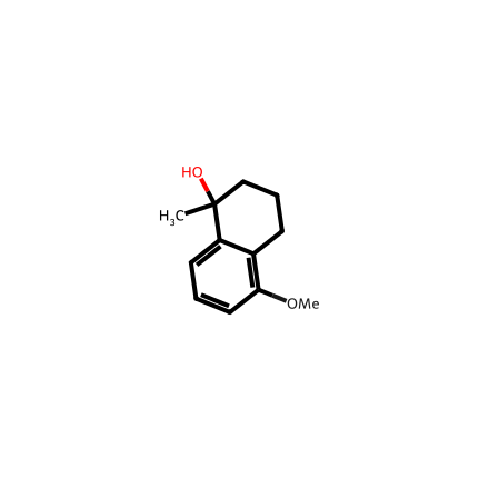 COc1cccc2c1CCCC2(C)O